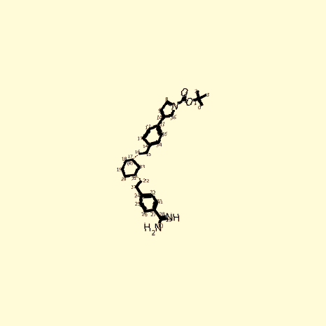 CC(C)(C)OC(=O)N1CCC(c2ccc(CC[C@H]3CCC[C@@H](CCc4ccc(C(=N)N)cc4)C3)cc2)C1